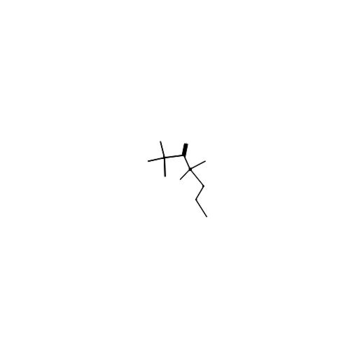 CCCC(C)(C)C(=S)C(C)(C)C